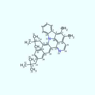 Bc1c(B)c2c3ccccc3n3c4c(CC(C)(C)C)c5ccc(CC(C)(C)C)cc5cc4c4nccc1c4c23